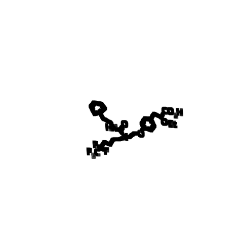 CCOC(Cc1ccc(OCCN(CCCCC(F)(F)C(F)(F)F)C(=O)NCCc2ccccc2)cc1)C(=O)O